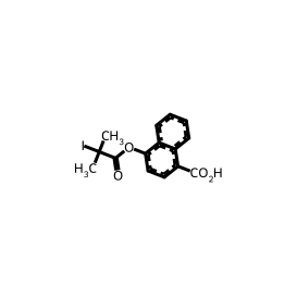 CC(C)(I)C(=O)Oc1ccc(C(=O)O)c2ccccc12